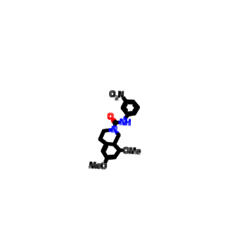 COC1=CC(OC)C2CN(C(=O)Nc3cccc([N+](=O)[O-])c3)CCC2=C1